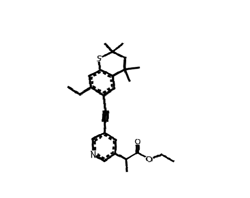 CCOC(=O)C(C)c1cncc(C#Cc2cc3c(cc2CC)SC(C)(C)CC3(C)C)c1